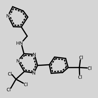 ClC(Cl)(Cl)c1ccc(-c2nc(NCc3cccnc3)nc(C(Cl)(Cl)Cl)n2)cc1